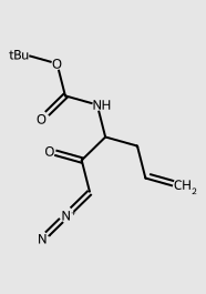 C=CCC(NC(=O)OC(C)(C)C)C(=O)C=[N+]=[N-]